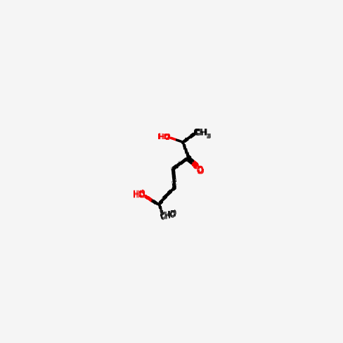 CC(O)C(=O)CCC(O)C=O